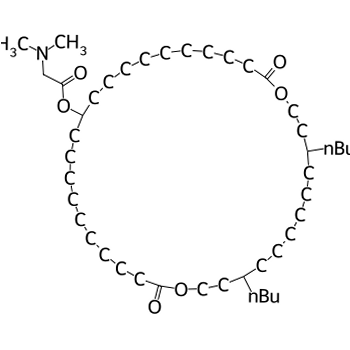 CCCCC1CCCCCCC(CCCC)CCOC(=O)CCCCCCCCCC(OC(=O)CN(C)C)CCCCCCCCCC(=O)OCC1